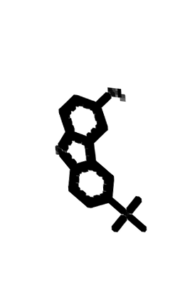 CS(C)(C)c1ccc2sc3ccc(N)cc3c2c1